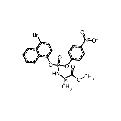 COC(=O)[C@H](C)NP(=O)(Oc1ccc([N+](=O)[O-])cc1)Oc1ccc(Br)c2ccccc12